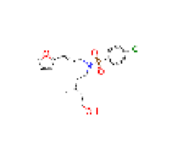 C[C@@H](CCO)CCN(CC=Cc1ccco1)S(=O)(=O)c1ccc(Cl)cc1